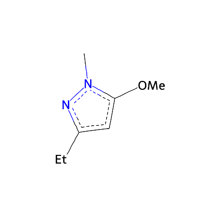 CCc1cc(OC)n(C)n1